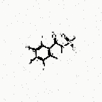 CS(=O)(=O)NC(=O)c1c(I)c(I)c(I)c(I)c1I